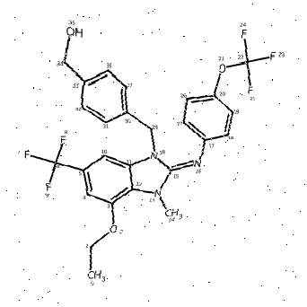 CCOc1cc(C(F)(F)F)cc2c1n(C)/c(=N/c1ccc(OC(F)(F)F)cc1)n2Cc1ccc(CO)cc1